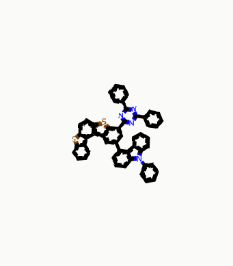 c1ccc(-c2nc(-c3ccccc3)nc(-c3cc(-c4cccc5c4c4ccccc4n5-c4ccccc4)cc4c3sc3ccc5sc6ccccc6c5c34)n2)cc1